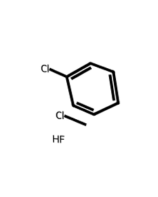 CCl.Clc1ccccc1.F